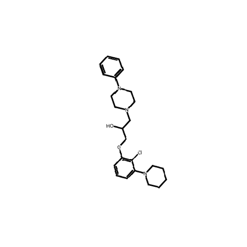 OC(COc1cccc(N2CCCCC2)c1Cl)CN1CCN(c2ccccc2)CC1